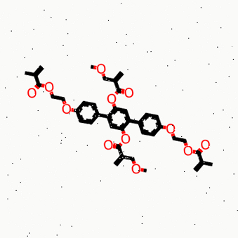 C=C(C)C(=O)OCCOc1ccc(-c2cc(OC(=O)C(=C)COC)c(-c3ccc(OCCOC(=O)C(=C)C)cc3)cc2OC(=O)C(=C)COC)cc1